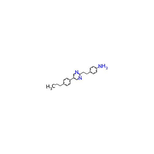 CCCc1ccc(-c2cnc(CCc3ccc(N)cc3)nc2)cc1